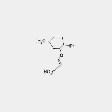 CC1CCC(C(C)C)C(OC=CC(=O)O)C1